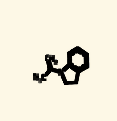 C=C(C)N1CCc2ccccc21